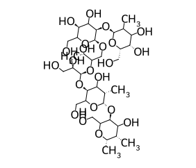 CC1C(O)[C@H](O)[C@H](CO)O[C@H]1O[C@@H]1C(O)[C@H](O)C(CO)O[C@@H]1OCC(O[C@@H](O[C@@H]1C(CO)O[C@@H](O[C@@H]2C(CO)O[C@@H](C)[C@@H](C)C2O)[C@@H](C)C1O)[C@H](O)CO)[C@H](C)O